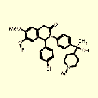 COc1cc2c(cc1OC(C)C)C(c1ccc(Cl)cc1)N(c1ccc([C@@](C)(O)C3CCN(C(C)=O)CC3)cc1)C(=O)C2